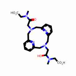 CN(CC(=O)O)C(=O)CN1Cc2cccc(n2)CN(CC(O)N(C)CC(=O)O)Cc2cccc(n2)C1